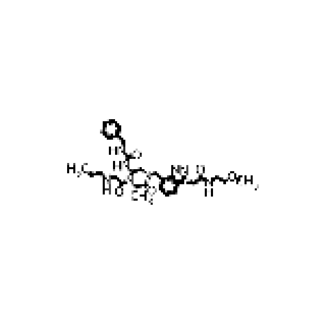 C=CCNCC(=O)N1[C@@H](NC(=O)NCc2ccccc2)CN(Cc2cccc3c2nnn3CC(=O)NCCOC)C(=O)[C@@H]1C